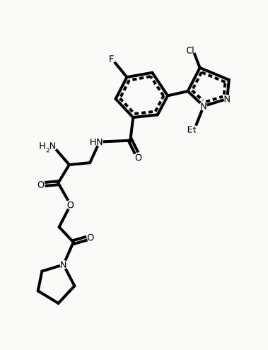 CCn1ncc(Cl)c1-c1cc(F)cc(C(=O)NCC(N)C(=O)OCC(=O)N2CCCC2)c1